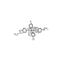 COc1ccc(C(C)(C)[C@](C)(c2ccc(Cl)cc2)[C@](C)(c2ccc(F)cc2)C(C)(C)c2ccc3c(c2)CC(C)O3)cc1